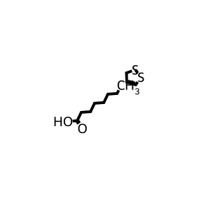 C1=CSSC1.CCCCCCCC(=O)O